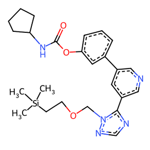 C[Si](C)(C)CCOCn1ncnc1-c1cncc(-c2cccc(OC(=O)NC3CCCC3)c2)c1